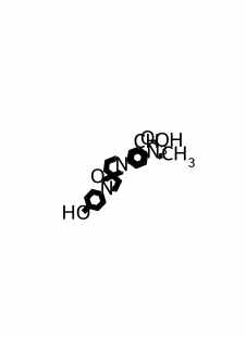 CCN(C(=O)O)c1ccc(N2CCCC3(CCN(C4CCC(O)CC4)C3=O)C2)cc1C